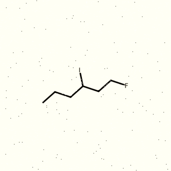 CCCC(I)CCF